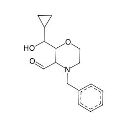 O=CC1C(C(O)C2CC2)OCCN1Cc1ccccc1